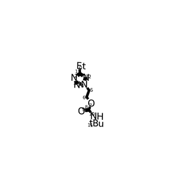 CCc1nnn(CCOC(=O)NC(C)(C)C)n1